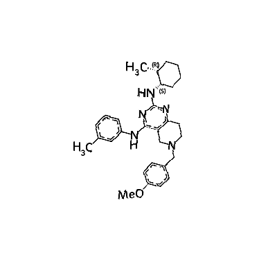 COc1ccc(CN2CCc3nc(N[C@H]4CCCC[C@H]4C)nc(Nc4cccc(C)c4)c3C2)cc1